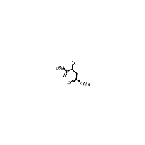 COC(=O)CC(NC(C)(C)C)C(C)=O